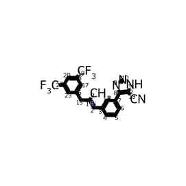 C/C(=C\c1cccc(-c2nn[nH]c2C#N)c1)Cc1cc(C(F)(F)F)cc(C(F)(F)F)c1